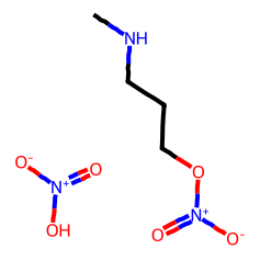 CNCCCO[N+](=O)[O-].O=[N+]([O-])O